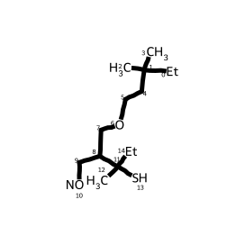 CCC(C)(C)CCOCC(CN=O)C(C)(S)CC